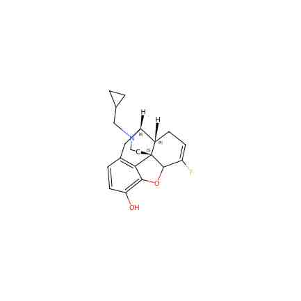 Oc1ccc2c3c1OC1C(F)=CC[C@H]4[C@@H](C2)N(CC2CC2)CC[C@]314